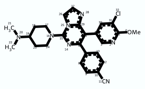 COc1ncc(-c2c(-c3ccc(C#N)cc3)nc(N3CCC(N(C)C)CC3)n3ccnc23)cc1Cl